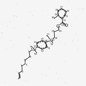 C=CCCCCCC[Si](C)(C)c1ccc([Si](C)(C)CCCOC(=O)c2ccccc2C)cc1